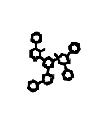 CC1C(c2cc(-c3cc(-c4ccccc4)ccn3)cc(C3(C)C=C(c4ccccc4)N=C(c4ccccc4)C3)c2)=NC=CC1c1ccccc1